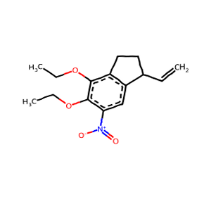 C=CC1CCc2c1cc([N+](=O)[O-])c(OCC)c2OCC